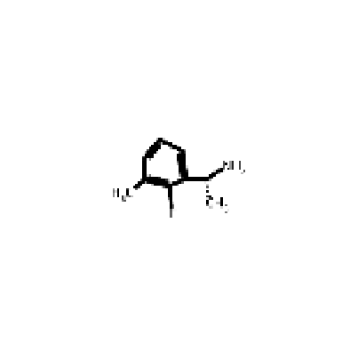 Cc1cccc([C@@H](C)N)c1F